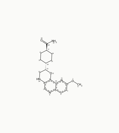 COc1ccc2ncc3c(c2n1)OC([C@H]1CC[C@H](C(N)=O)CC1)CN3